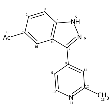 CC(=O)c1ccc2[nH]nc(-c3ccnc(C)c3)c2c1